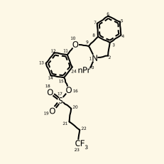 CCCN1Cc2ccccc2C1Oc1cccc(OS(=O)(=O)CCCC(F)(F)F)c1